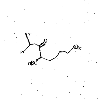 CCCCCCCCCCCCCC(CCCC)C(=O)C(C(C)C)C(C)C